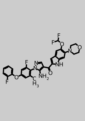 Cc1cc(Oc2ccccc2F)cc(F)c1-n1ncc(C(=O)c2cc3cc(OC(F)F)c(N4CCOCC4)cc3[nH]2)c1N